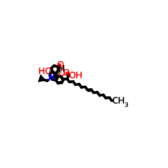 CCCCCCCCC=CCCCCCCC(C(=O)O)c1ccc2c3c1O[C@H]1C(=O)CC[C@@]4(O)C(C2)N(CC2CC2)CC[C@]314